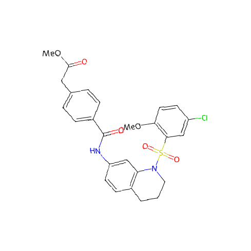 COC(=O)Cc1ccc(C(=O)Nc2ccc3c(c2)N(S(=O)(=O)c2cc(Cl)ccc2OC)CCC3)cc1